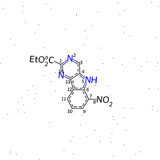 CCOC(=O)c1ncc2[nH]c3c([N+](=O)[O-])cccc3c2n1